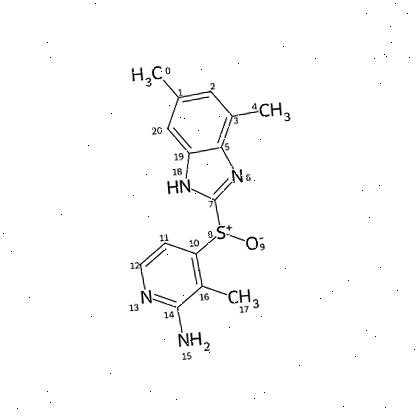 Cc1cc(C)c2nc([S+]([O-])c3ccnc(N)c3C)[nH]c2c1